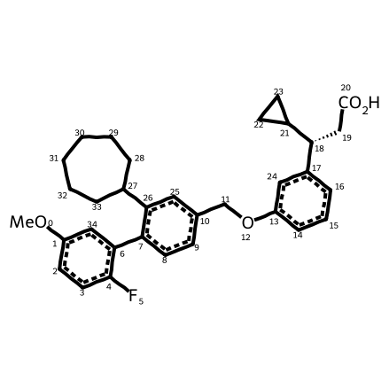 COc1ccc(F)c(-c2ccc(COc3cccc([C@@H](CC(=O)O)C4CC4)c3)cc2C2CCCCCC2)c1